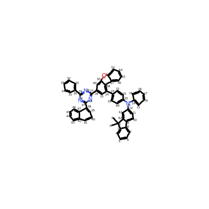 CC1(C)c2ccccc2-c2ccc(N(c3ccccc3)c3ccc(-c4cc(-c5nc(-c6ccccc6)nc(-c6cccc7ccccc67)n5)cc5oc6ccccc6c45)cc3)cc21